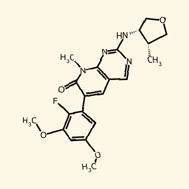 COc1cc(OC)c(F)c(-c2cc3cnc(N[C@@H]4COC[C@@H]4C)nc3n(C)c2=O)c1